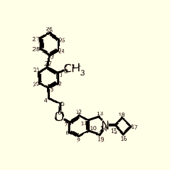 Cc1cc(CCOc2ccc3c(c2)CN(C2CCC2)C3)ccc1-c1ccccc1